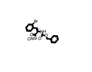 COC(=O)/C(=C\c1ccccc1Br)NC(=O)OCc1ccccc1